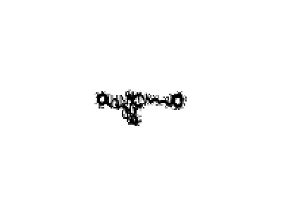 O=C1C(COCc2ccccc2)NC(=O)C2(CCN(CCCCCCc3ccccc3)CC2)N1CC1CCCO1